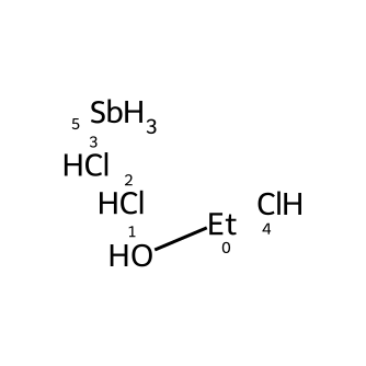 CCO.Cl.Cl.Cl.[SbH3]